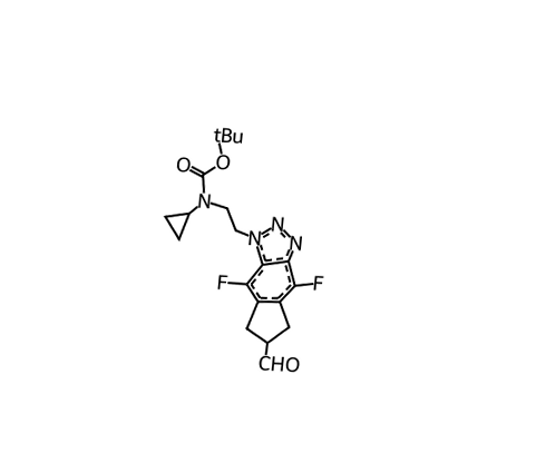 CC(C)(C)OC(=O)N(CCn1nnc2c(F)c3c(c(F)c21)CC(C=O)C3)C1CC1